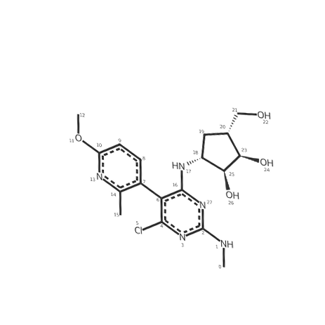 CNc1nc(Cl)c(-c2ccc(OC)nc2C)c(N[C@@H]2C[C@H](CO)[C@@H](O)[C@H]2O)n1